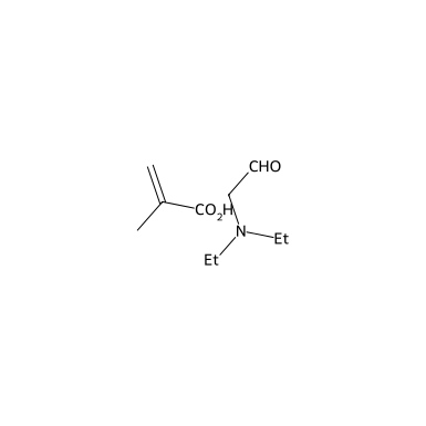 C=C(C)C(=O)O.CCN(CC)CC=O